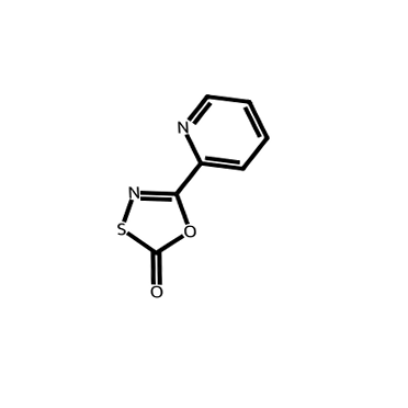 O=c1oc(-c2ccccn2)ns1